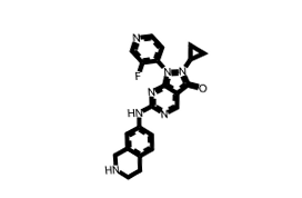 O=c1c2cnc(Nc3ccc4c(c3)CNCC4)nc2n(-c2ccncc2F)n1C1CC1